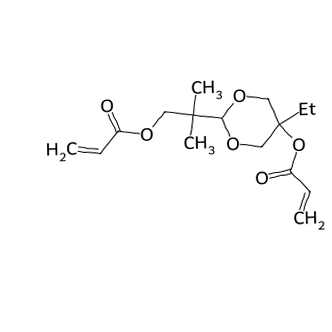 C=CC(=O)OCC(C)(C)C1OCC(CC)(OC(=O)C=C)CO1